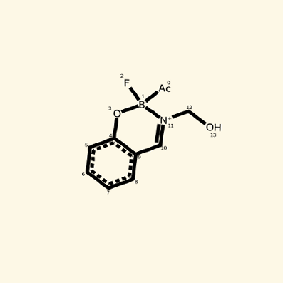 CC(=O)[B-]1(F)Oc2ccccc2C=[N+]1CO